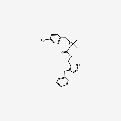 CC1(C)C(Oc2ccc(C(F)(F)F)cc2)C1C(=O)OCc1[nH]ccc1Cc1ccccc1